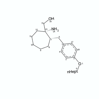 CCCCCCCOc1ccc(C[C@@H]2CCCCC[C@@]2(N)CO)cc1